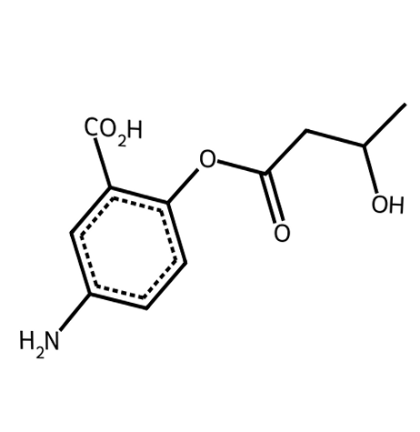 CC(O)CC(=O)Oc1ccc(N)cc1C(=O)O